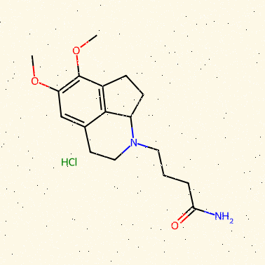 COc1cc2c3c(c1OC)CCC3N(CCCC(N)=O)CC2.Cl